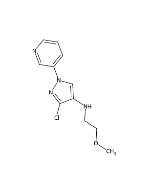 COCCNc1cn(-c2cccnc2)nc1Cl